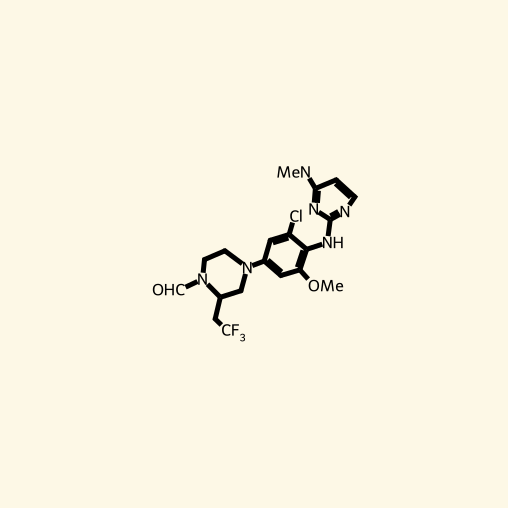 CNc1ccnc(Nc2c(Cl)cc(N3CCN(C=O)C(CC(F)(F)F)C3)cc2OC)n1